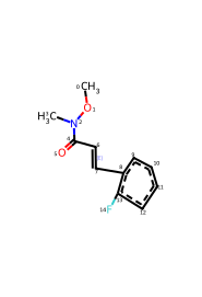 CON(C)C(=O)/C=C/c1ccccc1F